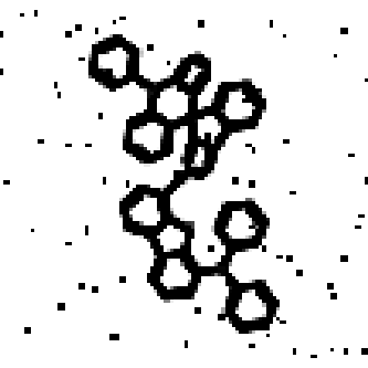 c1ccc(N2c3ccccc3C3(c4ccccc4-c4ccc(-c5cccc6c5sc5c(N(c7ccccc7)c7ccccc7)cccc56)cc43)c3ccccc32)cc1